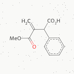 C=C(C(=O)OC)C(C(=O)O)c1ccccc1